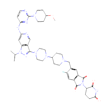 COC1CCN(c2nccc(Nc3cc4c(cn3)c(N3CCN(C5CCN(Cc6cc7c(cc6F)C(=O)N(C6CCC(=O)NC6=O)C7=O)CC5)CC3)nn4C(C)C)n2)CC1